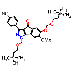 COc1cc2c(cc1OCOCC[Si](C)(C)C)C(=O)c1c(-c3ccc(C#N)cc3)nn(COCC[Si](C)(C)C)c1-2